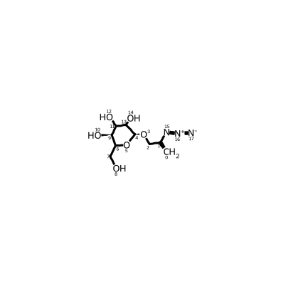 C=C(CO[C@@H]1OC(CO)[C@@H](O)C(O)C1O)N=[N+]=[N-]